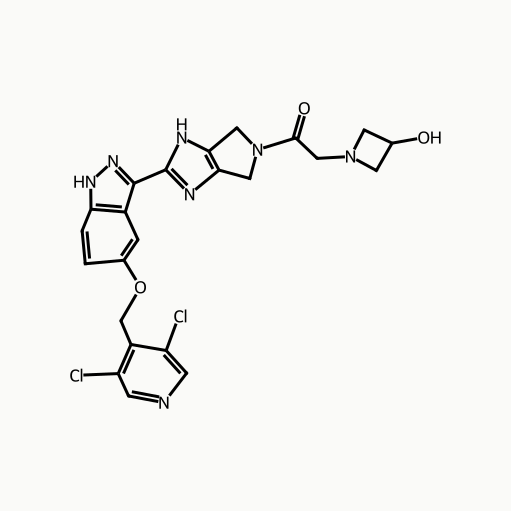 O=C(CN1CC(O)C1)N1Cc2nc(-c3n[nH]c4ccc(OCc5c(Cl)cncc5Cl)cc34)[nH]c2C1